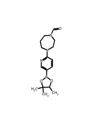 CC1OB(c2ccc(N3CCCN(C=O)CC3)nc2)OC1(C)C